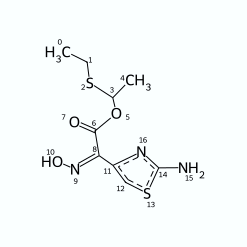 CCSC(C)OC(=O)C(=NO)c1csc(N)n1